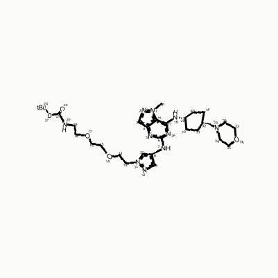 Cn1ncc2nc(Nc3cnn(CCOCCOCCNC(=O)OC(C)(C)C)c3)nc(N[C@H]3CC[C@H](N4CCOCC4)CC3)c21